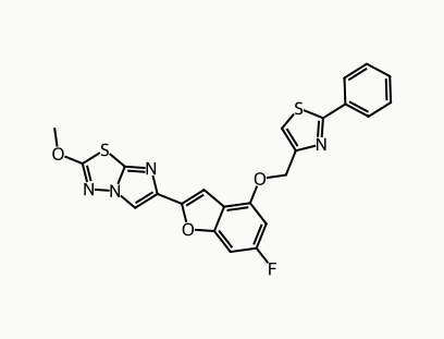 COc1nn2cc(-c3cc4c(OCc5csc(-c6ccccc6)n5)cc(F)cc4o3)nc2s1